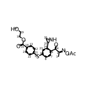 CC(=O)O/N=C(\C)C(=O)c1ccc(Sc2ccc(C(=O)OCCO)cc2)cc1C1CN1